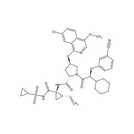 C=C[C@@H]1C[C@]1(NC(=O)[C@@H]1C[C@@H](Oc2ncc(OC)c3ccc(Cl)cc23)CN1C(=O)[C@@H](Oc1cccc(C#N)c1)C1CCCCC1)C(=O)NS(=O)(=O)C1CC1